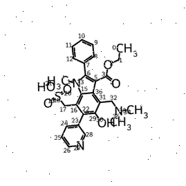 CCOC(=O)c1c(-c2ccccc2)n(C)c2c(CS(=O)(=O)O)c(-c3cccnc3)c(O)c(CN(C)C)c12